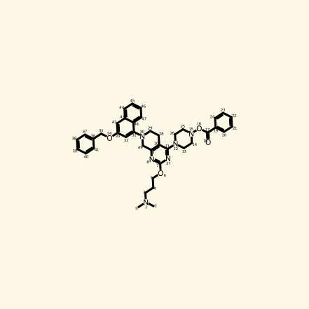 CN(C)CCCOc1nc2c(c(N3CCN(OC(=O)c4ccccc4)CC3)n1)CCN(c1cc(OCc3ccccc3)cc3ccccc13)C2